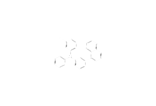 Brc1cccc(N(c2ccccc2)c2cccc(-c3cccc4ccccc34)c2)c1